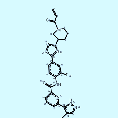 C=CC(=O)N1CCCC(c2nc(-c3ccc(NC(=O)c4cccc(-c5[nH]ncc5C)n4)c(F)c3)no2)C1